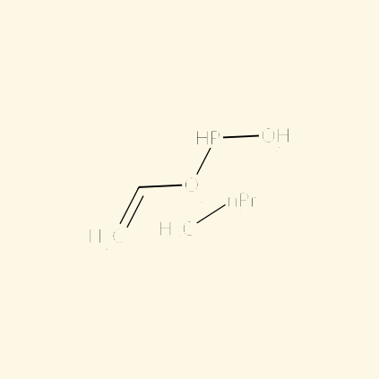 C=COPO.CCCC